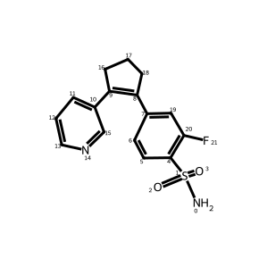 NS(=O)(=O)c1ccc(C2=C(c3cccnc3)CCC2)cc1F